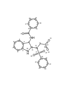 O=C(NC1c2ccccc2NN1N(C[SH](=O)=O)S(=O)(=O)c1ccccc1)c1ccccc1